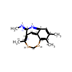 C/N=C1/N=c2cc(C)c(C)c3c2=C/C1=C(/C)SCS3